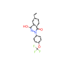 C=Cc1ccc2c(=O)n(-c3ccc(OC(F)(F)F)cc3)nc(O)c2c1